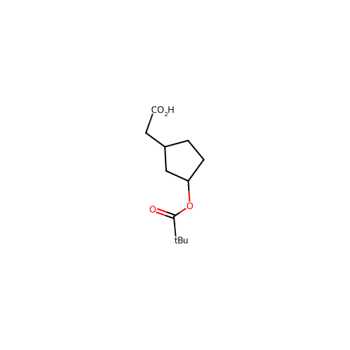 CC(C)(C)C(=O)OC1CCC(CC(=O)O)C1